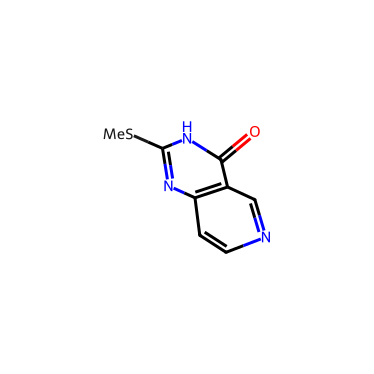 CSc1nc2ccncc2c(=O)[nH]1